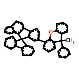 CC1(c2ccccc2)c2ccccc2Oc2c(-c3ccc4c(c3)C3(c5ccccc5-c5ccccc53)c3c-4ccc4ccccc34)cccc21